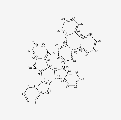 c1ccc2c(c1)sc1c2c2sc3cncnc3c2c2c1c1ccccc1n2-c1ccc2c3ccccc3c3ccccc3c2c1